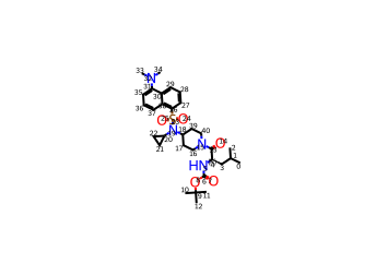 CC(C)C[C@@H](NC(=O)OC(C)(C)C)C(=O)N1CCC(N(C2CC2)S(=O)(=O)c2cccc3c(N(C)C)cccc23)CC1